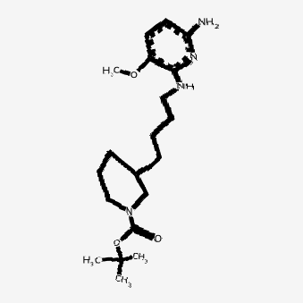 COc1ccc(N)nc1NCCCCC1CCCN(C(=O)OC(C)(C)C)C1